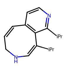 CC(C)/C1=C/NC/C=C\c2ccnc(C(C)C)c21